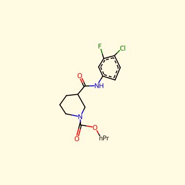 CCCOC(=O)N1CCCC(C(=O)Nc2ccc(Cl)c(F)c2)C1